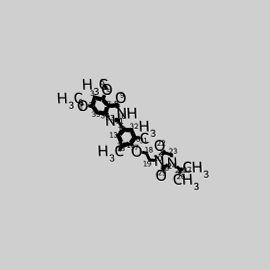 COc1cc(OC)c2c(=O)[nH]c(-c3cc(C)c(OCCN4C(=O)CN(C(C)C)C4=O)c(C)c3)nc2c1